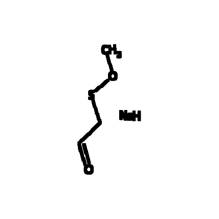 COSCC=O.[NaH]